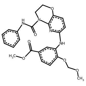 COCOc1ccc(C(=O)OC)cc1Nc1ccc2c(n1)N(C(=O)Nc1ccccc1)CCO2